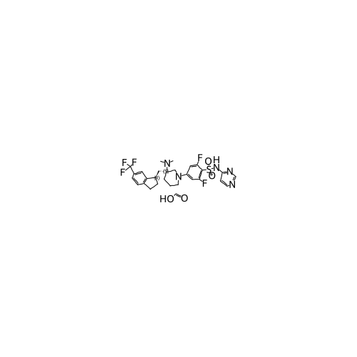 CN(C)[C@]1(C[C@H]2CCc3ccc(C(F)(F)F)cc32)CCCN(c2cc(F)c(S(=O)(=O)Nc3ccncn3)c(F)c2)C1.O=CO